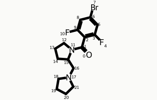 O=C(c1c(F)cc(Br)cc1F)N1CCCC1CN1CCCC1